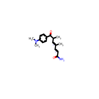 CC(/C=C/C(N)=O)=C\C(C)C(=O)c1ccc(N(C)C)cc1